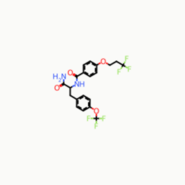 NC(=O)C(Cc1ccc(OC(F)(F)F)cc1)NC(=O)c1ccc(OCCC(F)(F)F)cc1